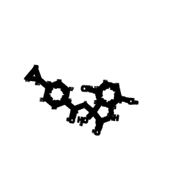 O=C(CC1(O)C(=O)Nc2c(Cl)ccc(Cl)c21)c1ccc(C2CC2)cc1